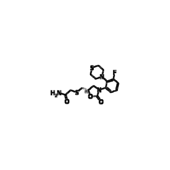 NC(=O)CSC[C@@H]1CN(c2cccc(F)c2N2CCSCC2)C(=O)O1